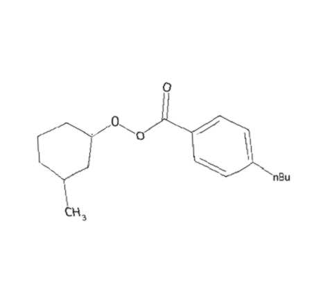 CCCCc1ccc(C(=O)OO[C]2CCCC(C)C2)cc1